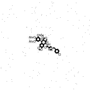 COc1cc([C@@H]2c3cc4c(cc3[C@@H](NC(=O)c3cn(Cc5ccc(Cl)cc5)nn3)[C@H]3COC(=O)[C@H]23)OCO4)cc(OC)c1OC